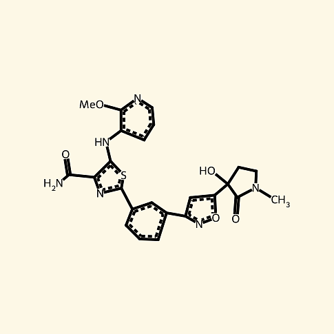 COc1ncccc1Nc1sc(-c2cccc(-c3cc(C4(O)CCN(C)C4=O)on3)c2)nc1C(N)=O